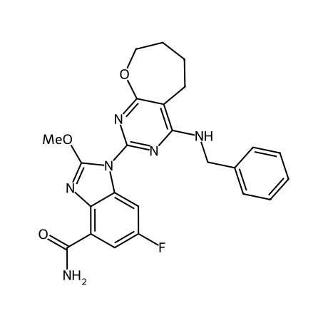 COc1nc2c(C(N)=O)cc(F)cc2n1-c1nc(NCc2ccccc2)c2c(n1)OCCCC2